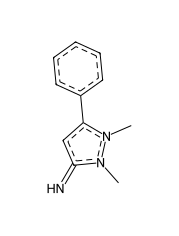 Cn1c(-c2ccccc2)cc(=N)n1C